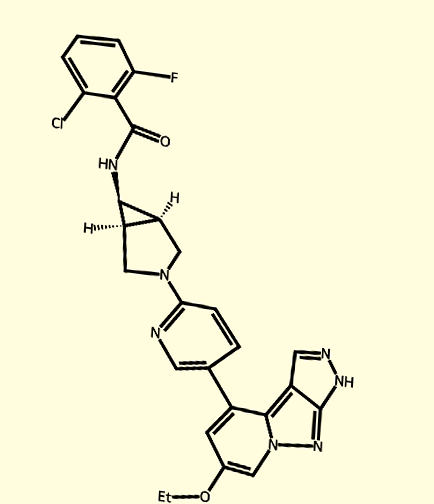 CCOc1cc(-c2ccc(N3C[C@@H]4[C@H](C3)[C@@H]4NC(=O)c3c(F)cccc3Cl)nc2)c2c3cn[nH]c3nn2c1